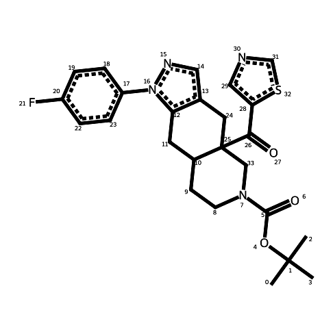 CC(C)(C)OC(=O)N1CCC2Cc3c(cnn3-c3ccc(F)cc3)CC2(C(=O)c2cncs2)C1